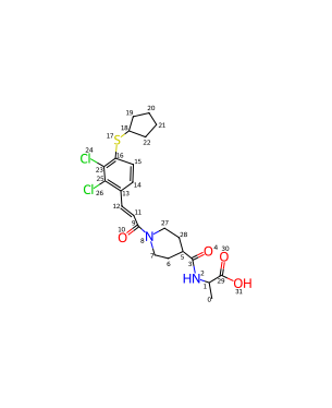 CC(NC(=O)C1CCN(C(=O)/C=C/c2ccc(SC3CCCC3)c(Cl)c2Cl)CC1)C(=O)O